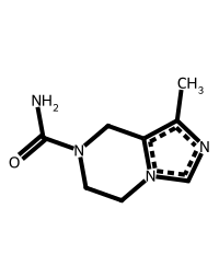 Cc1ncn2c1CN(C(N)=O)CC2